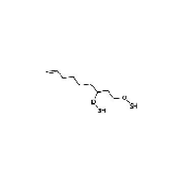 C=CCCCCC(CCOS)OS